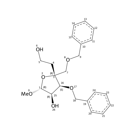 CO[C@@H]1O[C@](CCO)(COCc2ccccc2)[C@@H](OCc2ccccc2)[C@H]1O